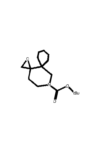 CC(C)(C)OC(=O)N1CCC2(CO2)C2(CCCCC2)C1